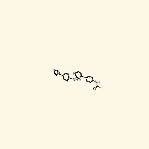 CC(=O)Nc1ccc(-c2ccnc(Nc3ccc(-n4cccc4)cc3)n2)cc1